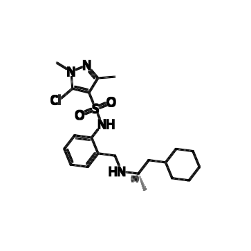 Cc1nn(C)c(Cl)c1S(=O)(=O)Nc1ccccc1CN[C@@H](C)CC1CCCCC1